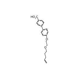 C=CCCCOCCOc1ccc(-c2ccc(C(=O)O)cc2)cc1